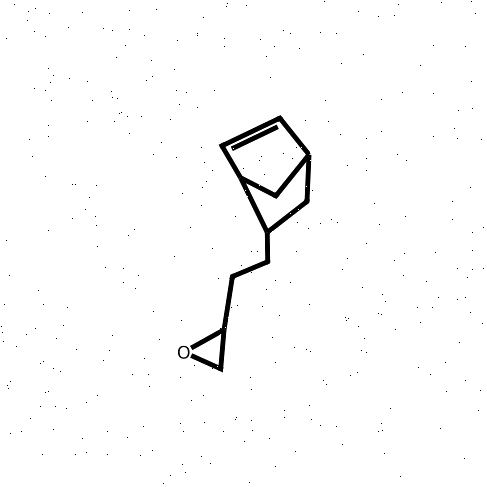 C1=CC2CC1CC2CCC1CO1